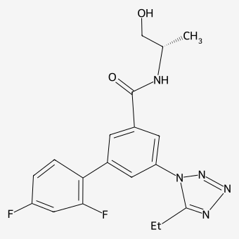 CCc1nnnn1-c1cc(C(=O)N[C@@H](C)CO)cc(-c2ccc(F)cc2F)c1